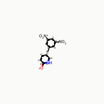 Cc1cc([N+](=O)[O-])cc([N+](=O)[O-])c1.O=c1cccc[nH]1